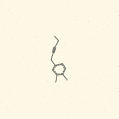 CCC#CCc1ccc(F)c(F)c1